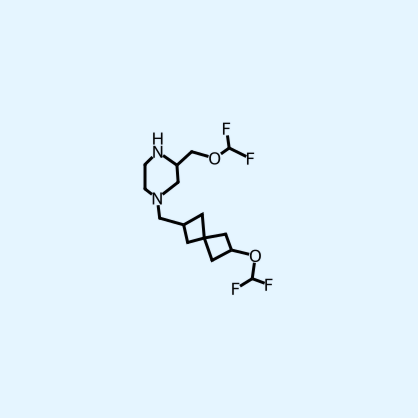 FC(F)OCC1CN(CC2CC3(C2)CC(OC(F)F)C3)CCN1